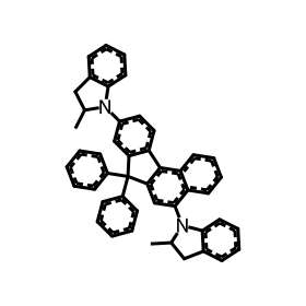 CC1Cc2ccccc2N1c1ccc2c(c1)C(c1ccccc1)(c1ccccc1)c1cc(N3c4ccccc4CC3C)c3ccccc3c1-2